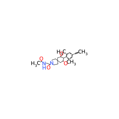 CC#Cc1cc(C)c(C2C(=O)CC3(CCN(C(=O)CNC(C)=O)CC3)CC2=O)c(C)c1